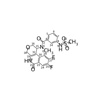 CN(C(=O)c1cccc(NS(C)(=O)=O)c1)C1COCc2[nH]c(=O)c3cc(F)c(F)cc3c21